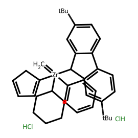 Cl.Cl.[CH2]=[Zr]([C]1=CC=CC1)([c]1ccccc1)([CH]1CCCCC1)[CH]1c2cc(C(C)(C)C)ccc2-c2ccc(C(C)(C)C)cc21